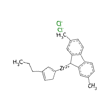 CCCC1=CC[C]([Zr+2][CH]2c3cc(C)ccc3-c3ccc(C)cc32)=C1.[Cl-].[Cl-]